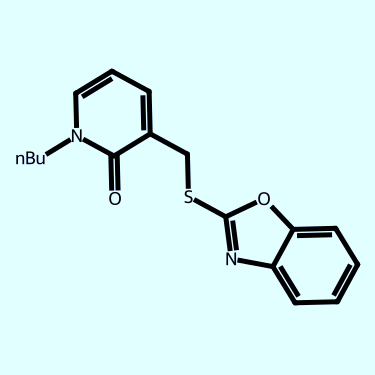 CCCCn1cccc(CSc2nc3ccccc3o2)c1=O